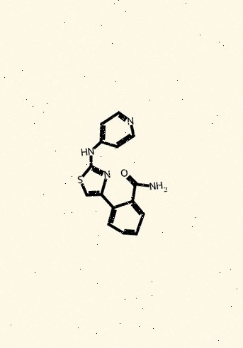 NC(=O)c1ccccc1-c1csc(Nc2ccncc2)n1